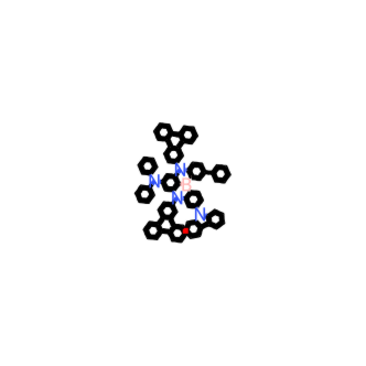 c1ccc(-c2ccc3c(c2)B2c4ccc(-n5c6ccccc6c6ccccc65)cc4N(c4ccc5c6ccccc6c6ccccc6c5c4)c4cc(N(c5ccccc5)c5ccccc5)cc(c42)N3c2ccc3c4ccccc4c4ccccc4c3c2)cc1